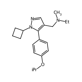 [CH2]CN(C)Cc1cnn(C2CCC2)c1-c1ccc(OC(C)C)cc1